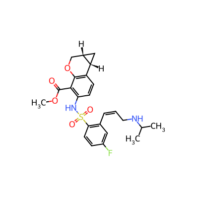 COC(=O)c1c(NS(=O)(=O)c2ccc(F)cc2/C=C\CNC(C)C)ccc2c1OC[C@@H]1C[C@H]21